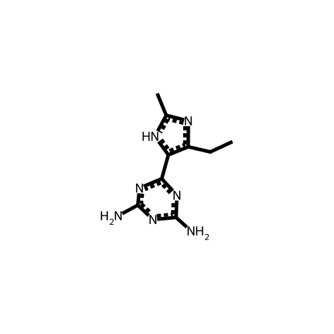 CCc1nc(C)[nH]c1-c1nc(N)nc(N)n1